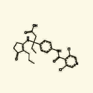 CCCC1=C(NC(CC)(CC(=O)O)c2ccc(NC(=O)c3c(Cl)cncc3Cl)cc2)CCC1=O